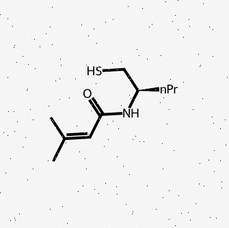 CCC[C@H](CS)NC(=O)C=C(C)C